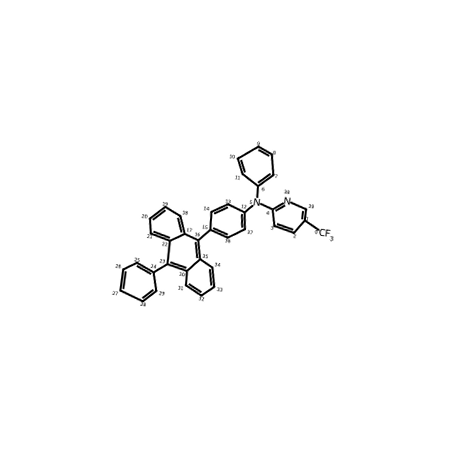 FC(F)(F)c1ccc(N(c2ccccc2)c2ccc(-c3c4ccccc4c(-c4ccccc4)c4ccccc34)cc2)nc1